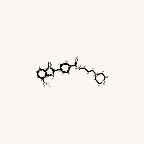 Cc1cccc2[nH]c(-c3ccc(C(=O)NCCCN4CCOCC4)cc3)nc12